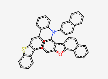 c1ccc(N(c2ccc3ccccc3c2)c2cccc3oc4c5ccccc5ccc4c23)c(-c2ccc3c(c2)sc2ccccc23)c1